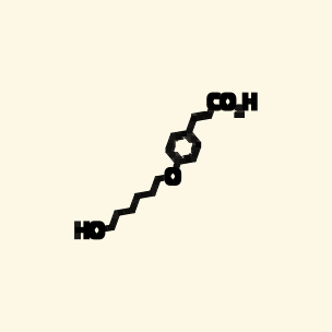 O=C(O)/C=C/c1ccc(OCCCCCCO)cc1